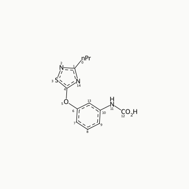 CCCc1nsc(Oc2cccc(NC(=O)O)c2)n1